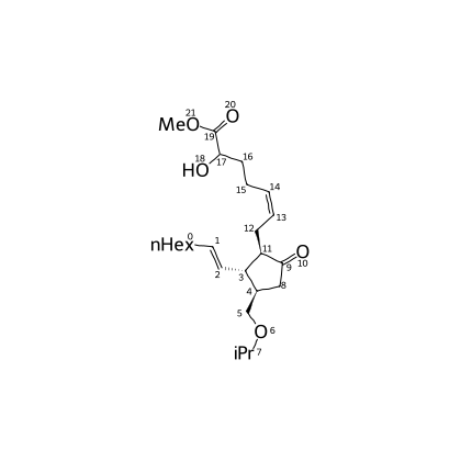 CCCCCC/C=C/[C@H]1[C@H](COC(C)C)CC(=O)[C@@H]1C/C=C\CCC(O)C(=O)OC